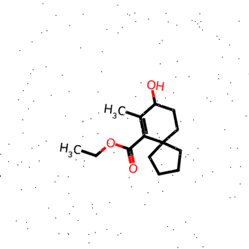 CCOC(=O)C1=C(C)C(O)CCC12CCCC2